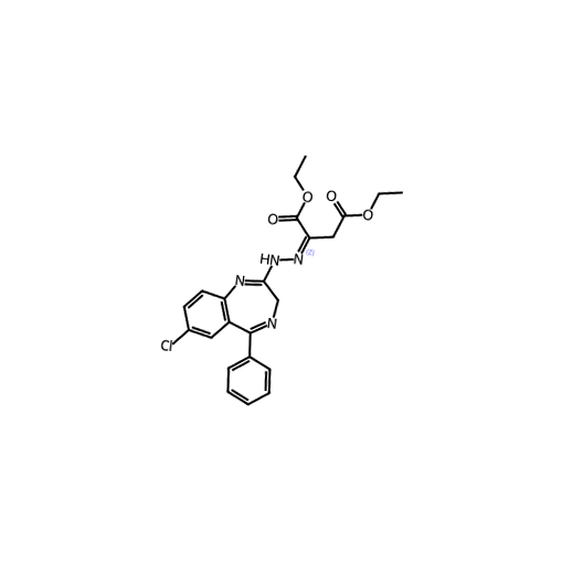 CCOC(=O)C/C(=N/NC1=Nc2ccc(Cl)cc2C(c2ccccc2)=NC1)C(=O)OCC